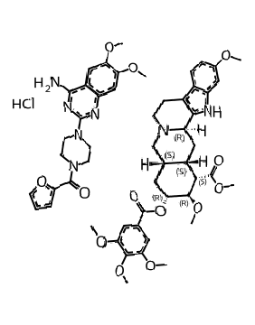 COC(=O)[C@H]1[C@H]2C[C@@H]3c4[nH]c5cc(OC)ccc5c4CCN3C[C@H]2C[C@@H](OC(=O)c2cc(OC)c(OC)c(OC)c2)[C@@H]1OC.COc1cc2nc(N3CCN(C(=O)c4ccco4)CC3)nc(N)c2cc1OC.Cl